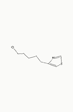 [O]CCCCCc1cscn1